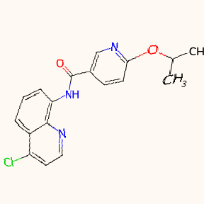 CC(C)Oc1ccc(C(=O)Nc2cccc3c(Cl)ccnc23)cn1